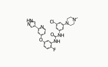 CN1CCN(c2cc(Cl)cc(NC(=O)Nc3cc(Oc4ccnc(-c5cn[nH]c5)c4)ccc3F)c2)CC1